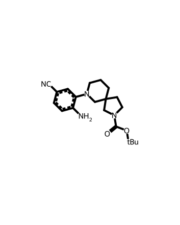 CC(C)(C)OC(=O)N1CCC2(CCCN(c3cc(C#N)ccc3N)C2)C1